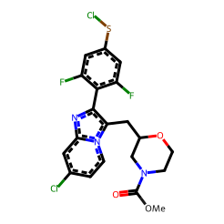 COC(=O)N1CCOC(Cc2c(-c3c(F)cc(SCl)cc3F)nc3cc(Cl)ccn23)C1